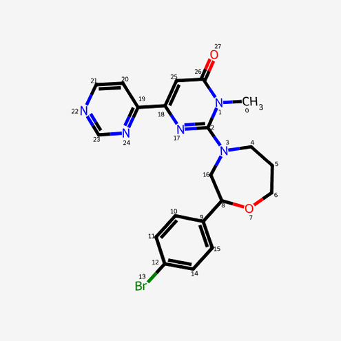 Cn1c(N2CCCOC(c3ccc(Br)cc3)C2)nc(-c2ccncn2)cc1=O